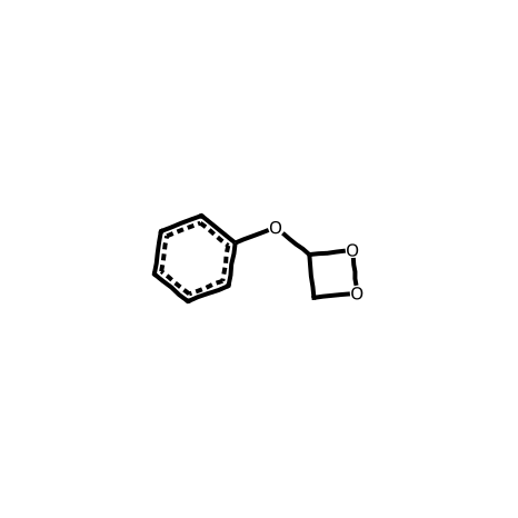 c1ccc(OC2COO2)cc1